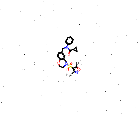 Cc1noc(C)c1S(=O)(=O)N1CCOc2ccc(CN(C(=O)C3CC3)c3ccccc3)cc2C1